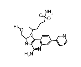 CCOCc1nc2c(N)nc3cc(-c4cccnc4)ccc3c2n1C(C)CCCS(N)(=O)=O